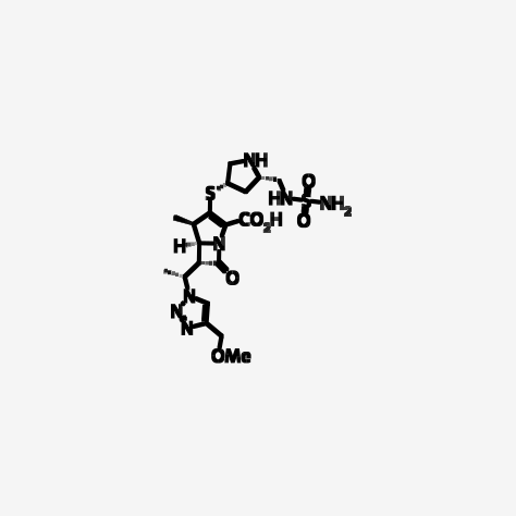 COCc1cn([C@H](C)[C@H]2C(=O)N3C(C(=O)O)=C(S[C@@H]4CN[C@H](CNS(N)(=O)=O)C4)[C@H](C)[C@H]23)nn1